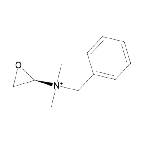 C[N+](C)(Cc1ccccc1)[C@H]1CO1